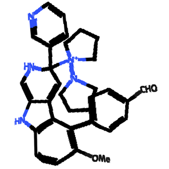 COc1ccc2[nH]c3c(c2c1-c1ccc(C=O)cc1)=CC(c1cccnc1)([N+]1(N2CCCC2)CCCC1)NC=3